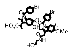 COc1cc2c(CC(=O)NCCO)c(C)n(C(=O)c3ccc(Br)cc3)c2cc1Cl.Cc1c(C(C)C(=O)O)c2cc(O)c(Cl)cc2n1C(=O)c1ccc(Br)cc1